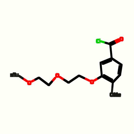 CCCCOCCOCCOc1cc(C(=O)Cl)ccc1OC